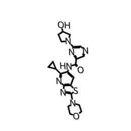 O=C(Nc1cc2sc(N3CCOCC3)nc2nc1C1CC1)c1cncc(N2CCC(O)C2)n1